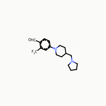 O=Cc1ccc(N2CCC(CN3CCCC3)CC2)cc1C(F)(F)F